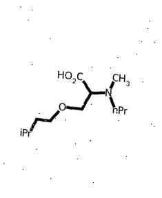 CCCN(C)C(COCCC(C)C)C(=O)O